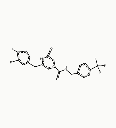 O=C(NCc1ccc(C(F)(F)F)cc1)c1cc(=O)[nH]c(Cc2ccc(F)c(F)c2)n1